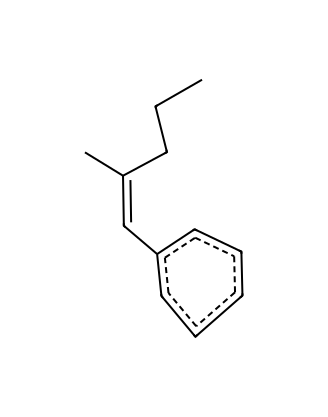 CCCC(C)=Cc1ccccc1